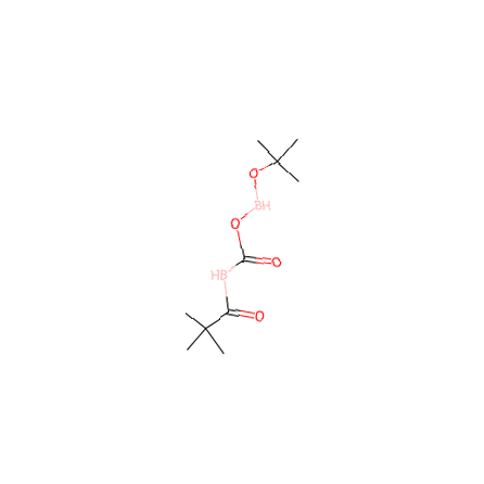 CC(C)(C)OBOC(=O)BC(=O)C(C)(C)C